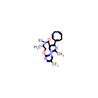 CCN(C(=O)c1cnc(C)nc1C1=C/C/C=C\C/C=C\1)[C@@H](C)COc1ncc(C(F)(F)F)cn1